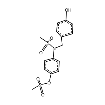 CS(=O)(=O)Oc1ccc(N(Cc2ccc(O)cc2)S(C)(=O)=O)cc1